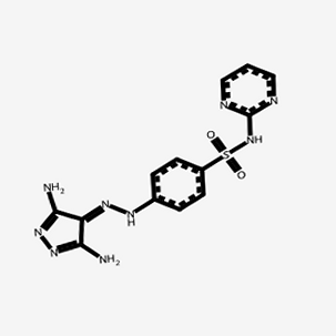 NC1=NN=C(N)C1=NNc1ccc(S(=O)(=O)Nc2ncccn2)cc1